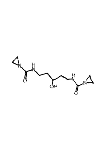 O=C(NCCC(O)CCNC(=O)N1CC1)N1CC1